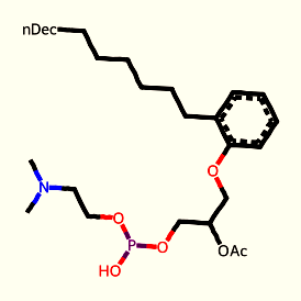 CCCCCCCCCCCCCCCCc1ccccc1OCC(COP(O)OCCN(C)C)OC(C)=O